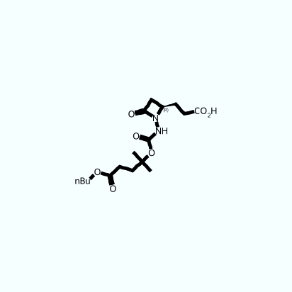 CCCCOC(=O)CCC(C)(C)OC(=O)NN1C(=O)C[C@H]1CCC(=O)O